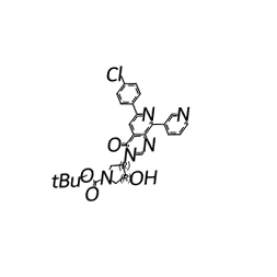 CC(C)(C)OC(=O)N1C[C@@H](O)[C@H](n2cnc3c(-c4cccnc4)nc(-c4ccc(Cl)cc4)cc3c2=O)C1